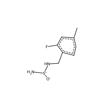 Cc1ccc(CN[S+](N)[O-])c(F)c1